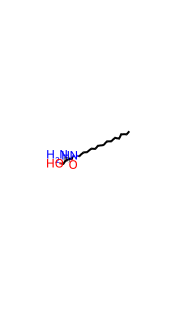 CCCCCCCCCCCCCCNC(=O)[C@@H](N)CO